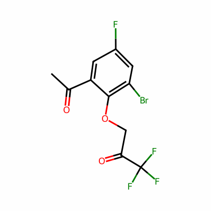 CC(=O)c1cc(F)cc(Br)c1OCC(=O)C(F)(F)F